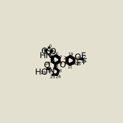 CS(=O)(=O)Nc1ccc(Oc2ccc(OC(F)(F)F)cc2)c(C2CCCN2C(=O)O)c1